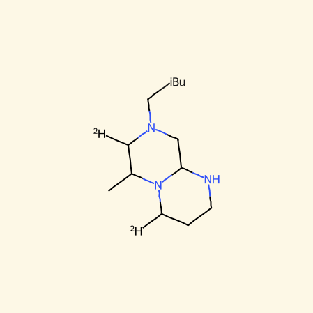 [2H]C1C(C)N2C([2H])CCNC2CN1CC(C)CC